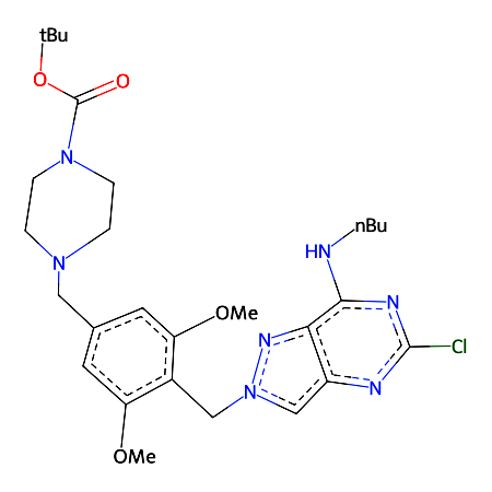 CCCCNc1nc(Cl)nc2cn(Cc3c(OC)cc(CN4CCN(C(=O)OC(C)(C)C)CC4)cc3OC)nc12